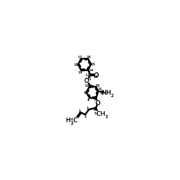 C=CCC[C@H](C)Oc1ccc(OC(=O)c2ccccc2)cc1N